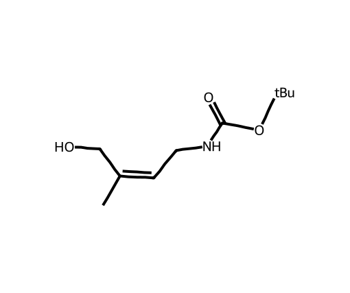 CC(=CCNC(=O)OC(C)(C)C)CO